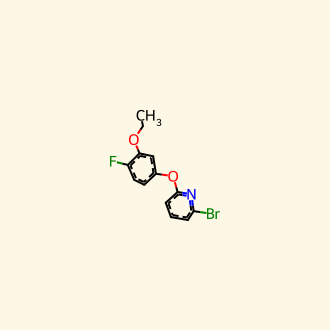 CCOc1cc(Oc2cccc(Br)n2)ccc1F